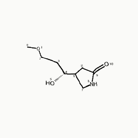 COCC[C@@H](O)C1CNC(=O)C1